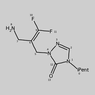 CCCC(C)n1cnn(CC(CN)=C(F)F)c1=O